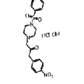 Cl.Cl.O=C(Cc1ccc([N+](=O)[O-])cc1)CN1CCN(S(=O)(=O)c2ccccc2)CC1